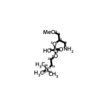 COCC(CN)OP(=O)(O)OCC[N+](C)(C)C